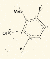 CSc1c(Br)ccc(Br)c1C=O